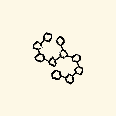 c1ccc(-c2cccc(-c3cccc(-c4cccc(-c5cc(-c6ccccc6)nc(-c6cccc(-c7cccc(-c8cccc(-c9ccccc9)n8)c7)c6)n5)c4)c3)c2)cc1